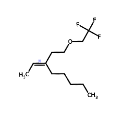 C/C=C(\CCCCC)CCOCC(F)(F)F